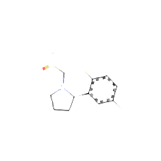 O=[SH](=O)CN1CCC[C@@H]1c1cc(F)ccc1F